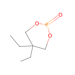 CCC1(CC)CO[P](=O)OC1